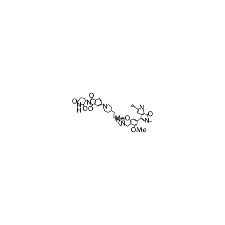 COc1cc(-c2cn(C)c(=O)c3cnc(C4CC4)cc23)cc(OC)c1CN1CCN(CCC2CCN(c3ccc4c(c3)C(=O)N(C3CCC(=O)NC3=O)C4=O)CC2)CC1